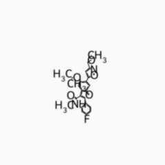 CNC(=O)c1c(-c2ccc(F)cc2)oc2cc(-c3cc(COC)no3)c(OC(C)C)cc12